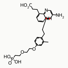 Cc1cc(OCCOCCP(=O)(O)O)ccc1CCC1=CC=C2C(N)=CN=C3C(CCC(=O)O)=CC=CC23N1